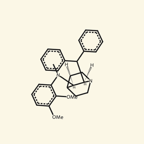 COc1cccc(N(C)[C@@H]2C3CCN(CC3)[C@@H]2C(c2ccccc2)c2ccccc2)c1OC